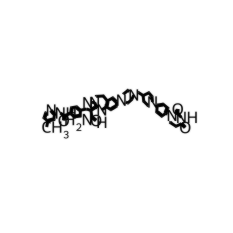 Cc1ccnc(NC(=O)c2ccc(-c3nn4c(c3C(N)=O)Nc3ccc(N5CCN(CC6CCN(c7ccc(N8CCC(=O)NC8=O)cc7)CC6)CC5)cc3CC4)cc2)c1